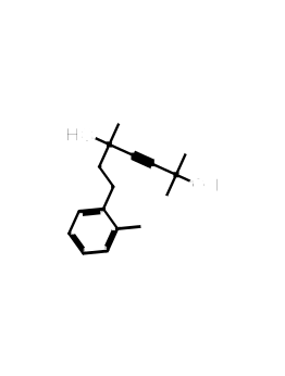 Cc1ccccc1CCC(C)(O)C#CC(C)(C)O